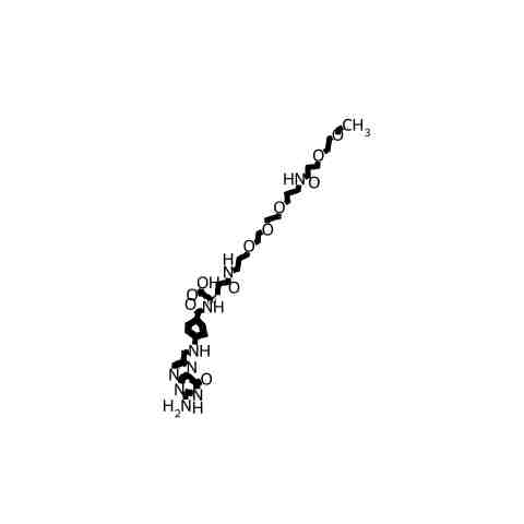 CCOCCOCCC(=O)NCCCOCCOCCOCCCNC(=O)CC[C@H](NC(=O)c1ccc(NCc2cnc3nc(N)[nH]c(=O)c3n2)cc1)C(=O)O